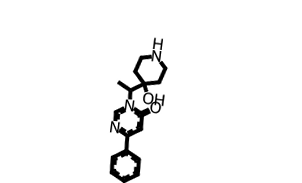 CC(n1cnc(-c2ccccc2)cc1=O)C1(O)CCNCC1